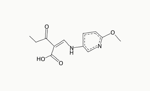 CCC(=O)C(=CNc1ccc(OC)nc1)C(=O)O